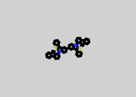 CC1(C)c2ccccc2-c2cccc(-n3c4ccc(-c5ccc6c(c5)c5c7ccccc7sc5n6-c5cccc6c5C(C)(C)c5ccccc5-6)cc4c4c5ccccc5sc43)c21